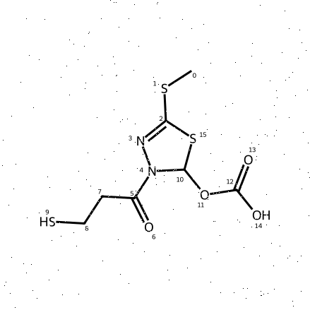 CSC1=NN(C(=O)CCS)C(OC(=O)O)S1